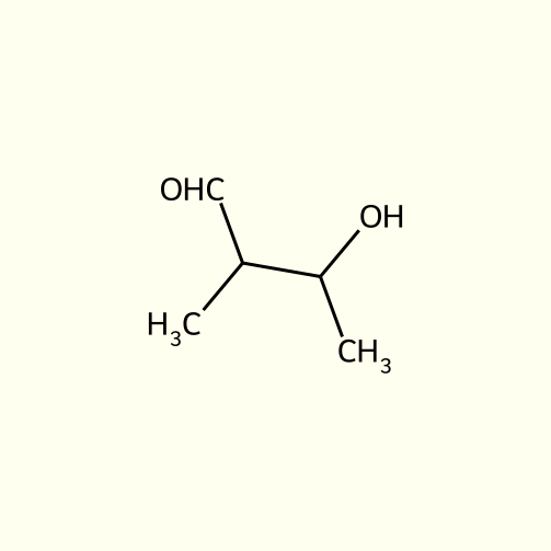 CC(O)C(C)C=O